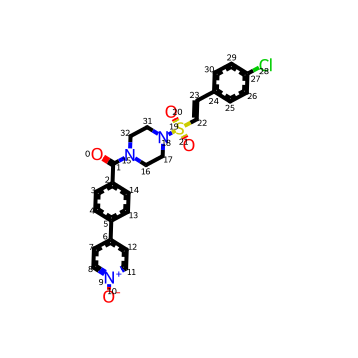 O=C(c1ccc(-c2cc[n+]([O-])cc2)cc1)N1CCN(S(=O)(=O)C=Cc2ccc(Cl)cc2)CC1